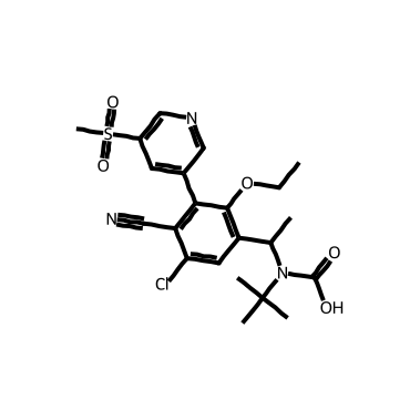 CCOc1c(C(C)N(C(=O)O)C(C)(C)C)cc(Cl)c(C#N)c1-c1cncc(S(C)(=O)=O)c1